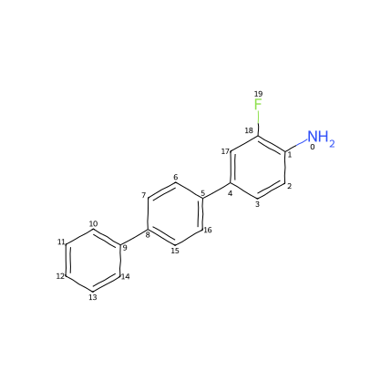 Nc1ccc(-c2ccc(-c3ccccc3)cc2)cc1F